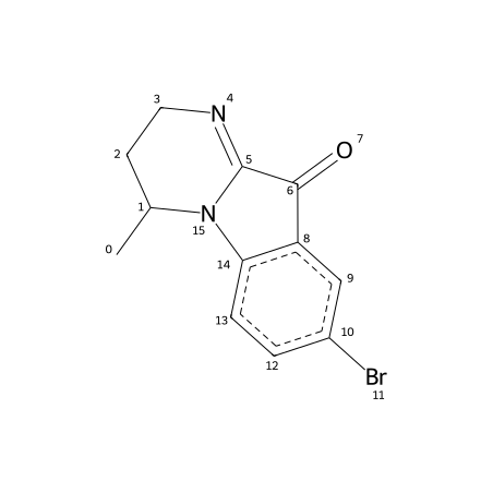 CC1CCN=C2C(=O)c3cc(Br)ccc3N21